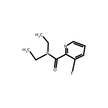 CCN(CC)C(=O)c1ncccc1F